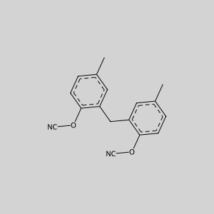 Cc1ccc(OC#N)c(Cc2cc(C)ccc2OC#N)c1